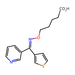 O=C(O)CCCCON=C(c1cccnc1)c1ccsc1